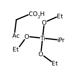 CC(=O)CC(=O)O.CC[O][Ti]([O]CC)([O]CC)[CH](C)C